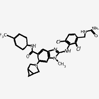 Cn1c(Nc2c(Cl)ccc(CNC(=O)C(C)(C)C)c2Cl)nc2cc(C(=O)NC3CCC(C(F)(F)F)CC3)c(N3CC4CC4C3)cc21